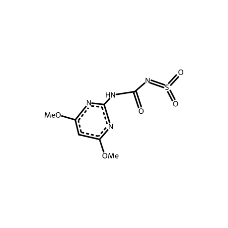 COc1cc(OC)nc(NC(=O)N=S(=O)=O)n1